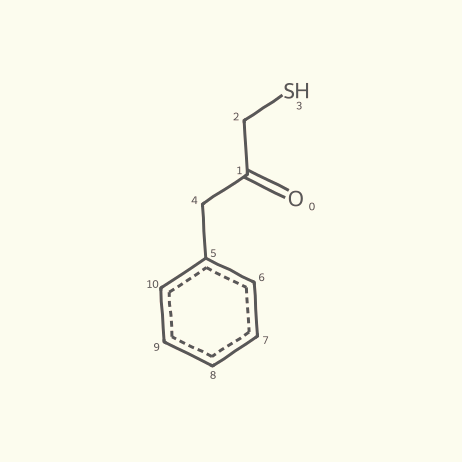 O=C(CS)Cc1ccccc1